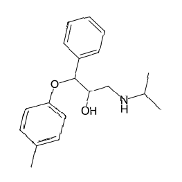 Cc1ccc(OC(c2ccccc2)C(O)CNC(C)C)cc1